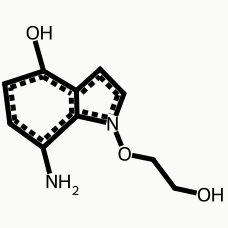 Nc1ccc(O)c2ccn(OCCO)c12